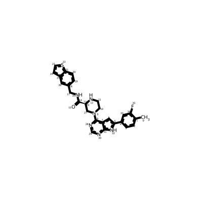 Cc1ccc(-c2cc3c(N4CCN[C@H](C(=O)NCc5ccc6sccc6c5)C4)ncnc3[nH]2)cc1F